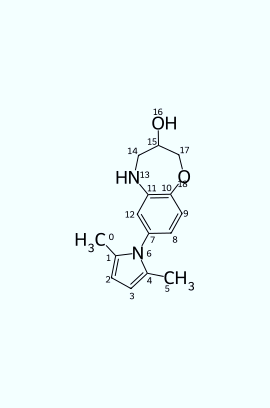 Cc1ccc(C)n1-c1ccc2c(c1)NCC(O)CO2